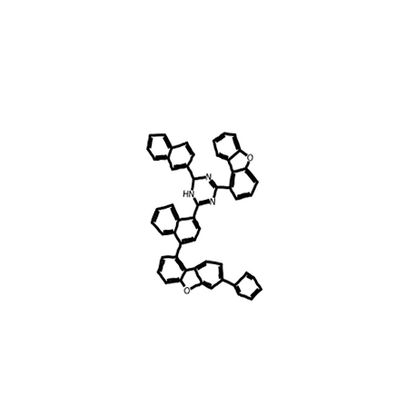 c1ccc(-c2ccc3c(c2)oc2cccc(-c4ccc(C5=NC(c6cccc7oc8ccccc8c67)=NC(c6ccc7ccccc7c6)N5)c5ccccc45)c23)cc1